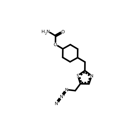 [N-]=[N+]=NCc1cnc(CC2CCC(OC(N)=O)CC2)s1